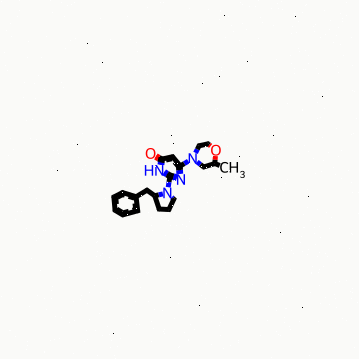 CC1CN(c2cc(=O)[nH]c(N3CCCC3Cc3ccccc3)n2)CCO1